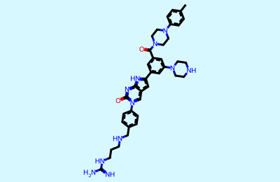 Cc1ccc(N2CCN(C(=O)c3cc(-c4cc5cn(-c6ccc(CNCCCNC(=N)N)cc6)c(=O)nc5[nH]4)cc(N4CCNCC4)c3)CC2)cc1